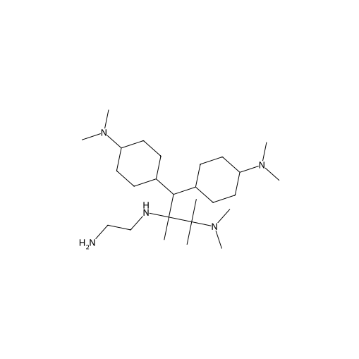 CN(C)C1CCC(C(C2CCC(N(C)C)CC2)C(C)(NCCN)C(C)(C)N(C)C)CC1